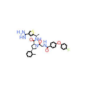 Cc1ccccc1[C@H]1C[C@@H](C(=O)N[C@H](C)c2cc(C(=N)N)cs2)N(C(=O)CNC(=O)c2ccc(Oc3ccc(F)cc3)cc2)C1